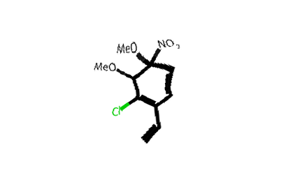 C=CC1=C(Cl)C(OC)C(OC)([N+](=O)[O-])C=C1